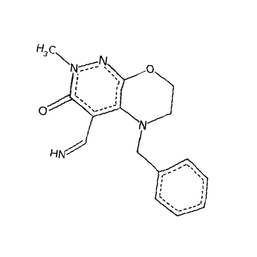 Cn1nc2c(c(C=N)c1=O)N(Cc1ccccc1)CCO2